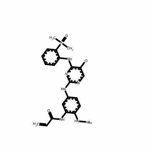 C=CC(=O)Nc1cc(Nc2ncc(Cl)c(Nc3ccccc3P(C)(C)=O)n2)ccc1NCCCC